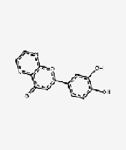 O=c1cc(-c2ccc(O)c(O)c2)oc2nccnc12